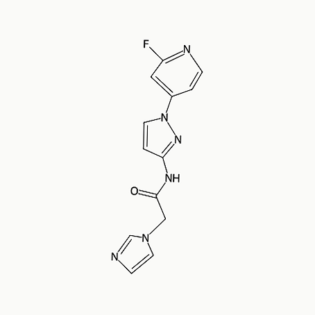 O=C(Cn1ccnc1)Nc1ccn(-c2ccnc(F)c2)n1